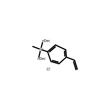 C=Cc1ccc([N+](C)(CCCCCCCCCC)CCCCCCCCCC)cc1.[Cl-]